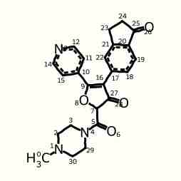 CN1CCN(C(=O)C2OC(c3ccncc3)=C(c3ccc4c(c3)CCC4=O)C2=O)CC1